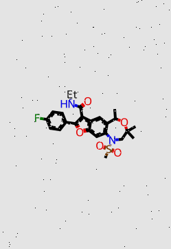 CCNC(=O)c1c(-c2ccc(F)cc2)oc2cc3c(cc12)C(C)OC(C)(C)CN3S(C)(=O)=O